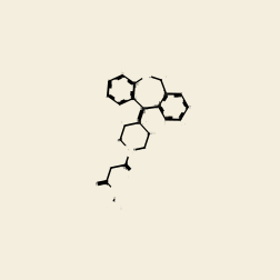 CC(C)(C)OC(=O)CC(=O)N1CCC(=C2c3ccccc3CSc3ccccc32)CC1